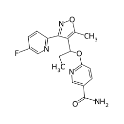 CCC(Oc1ccc(C(N)=O)cn1)c1c(-c2ccc(F)cn2)noc1C